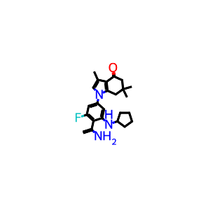 C=C(N)c1c(F)cc(-n2cc(C)c3c2CC(C)(C)CC3=O)cc1NC1CCCC1